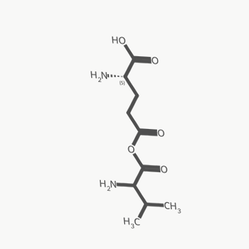 CC(C)C(N)C(=O)OC(=O)CC[C@H](N)C(=O)O